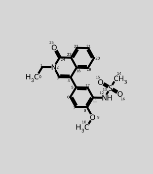 CCn1cc(-c2ccc(OC)c(NS(C)(=O)=O)c2)c2ccccc2c1=O